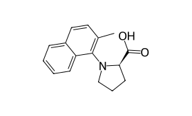 Cc1ccc2ccccc2c1N1CCC[C@@H]1C(=O)O